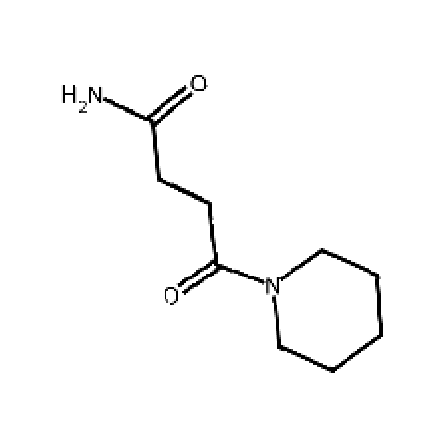 NC(=O)CCC(=O)N1CCCCC1